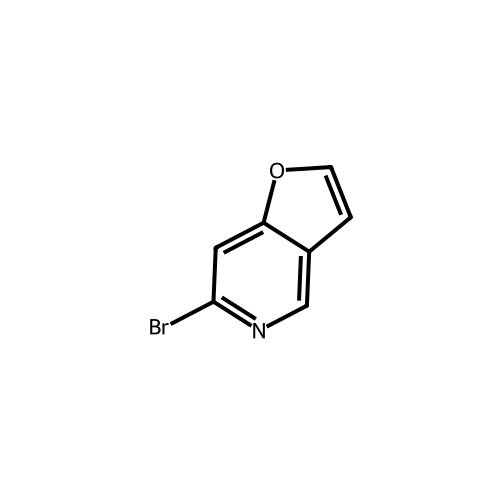 Brc1cc2occc2cn1